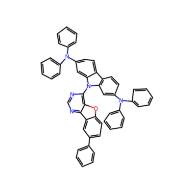 c1ccc(-c2ccc3oc4c(-n5c6cc(N(c7ccccc7)c7ccccc7)ccc6c6ccc(N(c7ccccc7)c7ccccc7)cc65)ncnc4c3c2)cc1